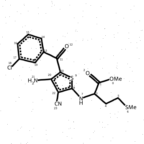 COC(=O)C(CCSC)Nc1sc(C(=O)c2cccc(Cl)c2)c(N)c1C#N